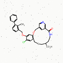 Cc1c(COc2cc3c(cc2Cl)CCCC(C(=O)O)CCNC(=O)c2cncc(c2)CO3)cccc1-c1ccccc1